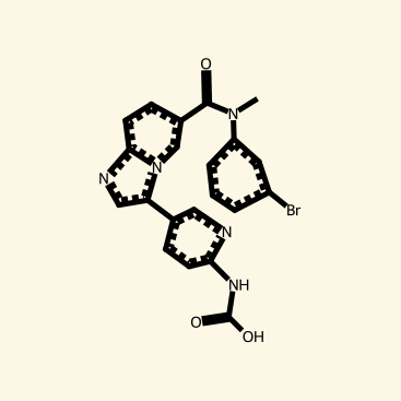 CN(C(=O)c1ccc2ncc(-c3ccc(NC(=O)O)nc3)n2c1)c1cccc(Br)c1